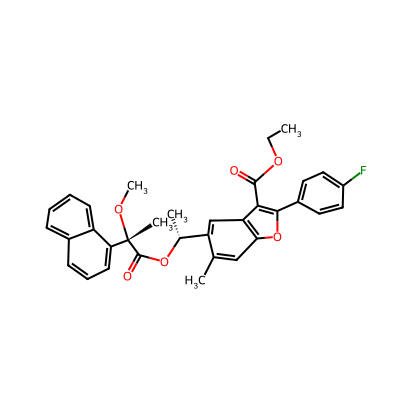 CCOC(=O)c1c(-c2ccc(F)cc2)oc2cc(C)c([C@@H](C)OC(=O)[C@@](C)(OC)c3cccc4ccccc34)cc12